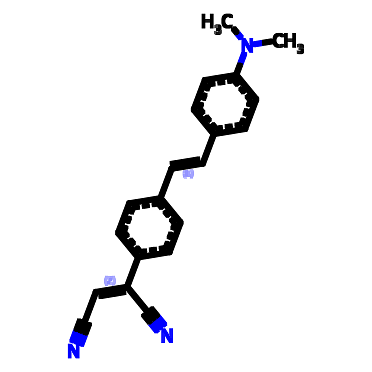 CN(C)c1ccc(/C=C/c2ccc(/C(C#N)=C/C#N)cc2)cc1